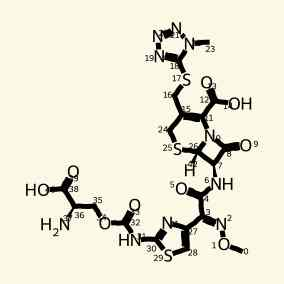 CON=C(C(=O)N[C@@H]1C(=O)N2C(C(=O)O)=C(CSc3nnnn3C)CS[C@@H]12)c1csc(NC(=O)OC[C@@H](N)C(=O)O)n1